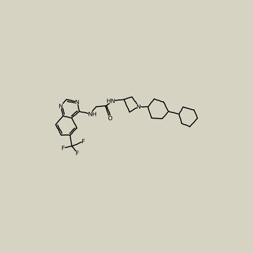 O=C(CNc1ncnc2ccc(C(F)(F)F)cc12)NC1CN(C2CCC(C3CCCCC3)CC2)C1